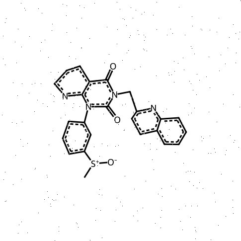 C[S+]([O-])c1cccc(-n2c(=O)n(Cc3ccc4ccccc4n3)c(=O)c3cccnc32)c1